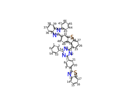 c1ccc(-c2nc(-c3ccc(-c4nc5ccccc5s4)cc3)nc(-c3cccc4sc5cc(-c6nc7ccccc7n6-c6ccccc6)ccc5c34)n2)cc1